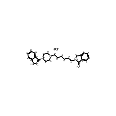 Cl.O=C1c2ccccc2CN1CCCCCCN1CCN(c2nsc3ccccc23)CC1